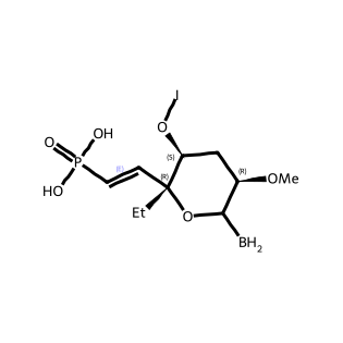 BC1O[C@@](/C=C/P(=O)(O)O)(CC)[C@@H](OI)C[C@H]1OC